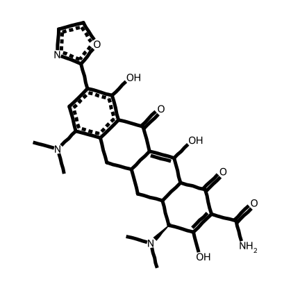 CN(C)c1cc(-c2ncco2)c(O)c2c1CC1CC3C(C(=O)C(C(N)=O)=C(O)[C@H]3N(C)C)C(O)=C1C2=O